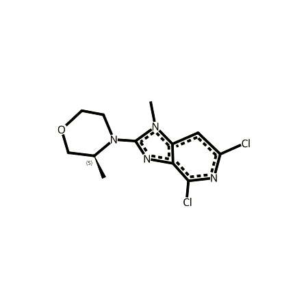 C[C@H]1COCCN1c1nc2c(Cl)nc(Cl)cc2n1C